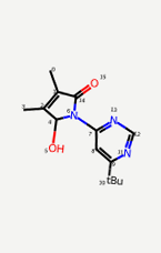 CC1=C(C)C(O)N(c2cc(C(C)(C)C)ncn2)C1=O